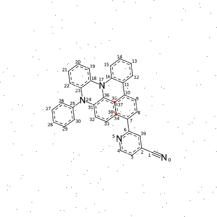 N#Cc1ccnc(-c2ccc(-c3ccccc3N3c4ccccc4N(c4ccccc4)c4ccccc43)cc2)c1